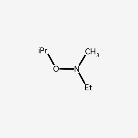 CCN(C)OC(C)C